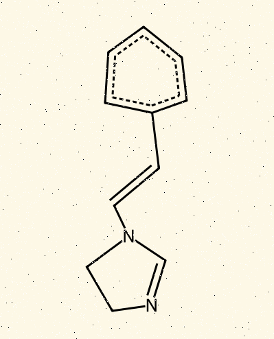 C(=CN1C=NCC1)c1ccccc1